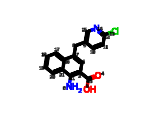 Nc1c(C(=O)O)cc(Cc2ccc(Cl)nc2)c2ccccc12